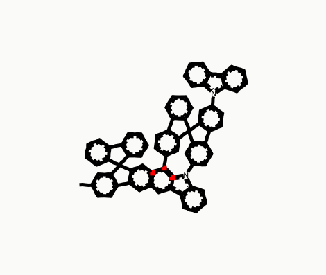 Cc1ccc2c(c1)C1(c3ccccc3-c3ccccc31)c1cc(C(=O)c3ccc4c(c3)C3(c5ccccc5-4)c4cc(-n5c6ccccc6c6ccccc65)ccc4-c4ccc(-n5c6ccccc6c6ccccc65)cc43)ccc1-2